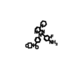 Nc1ccc(-c2nc3c(N4CCCCC4)ccnc3n2-c2ccc(C(=O)N3CCOCC3)cc2)cc1F